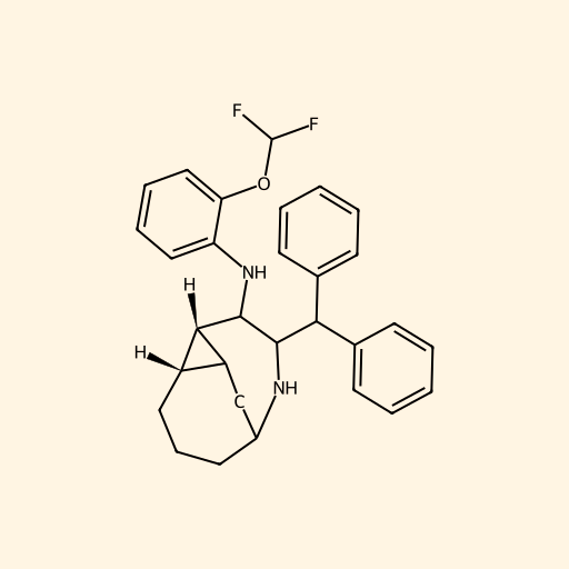 FC(F)Oc1ccccc1NC1C(C(c2ccccc2)c2ccccc2)NC2CCC[C@H]3C(C2)[C@@H]13